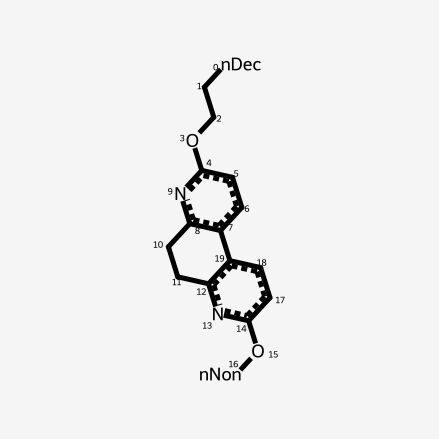 CCCCCCCCCCCCOc1ccc2c(n1)CCc1nc(OCCCCCCCCC)ccc1-2